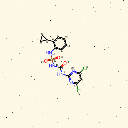 O=C(Nc1nc(Cl)cc(Cl)n1)NS(=O)(=O)Nc1ccccc1C1CC1